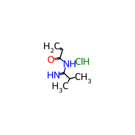 C=CC(=O)NC(=N)C(C)C.Cl